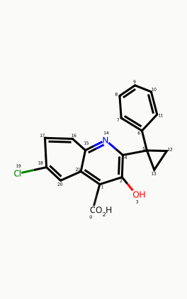 O=C(O)c1c(O)c(C2(c3ccccc3)CC2)nc2ccc(Cl)cc12